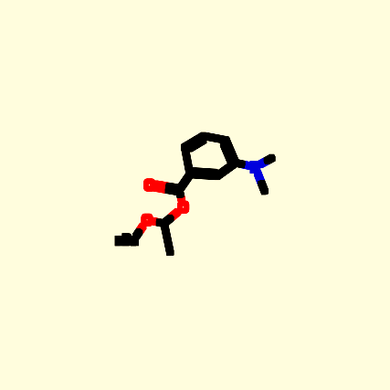 CCCCOC(C)OC(=O)c1cccc(N(C)C)c1